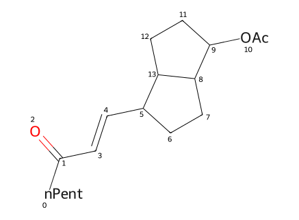 CCCCCC(=O)/C=C/C1CCC2C(OC(C)=O)CCC12